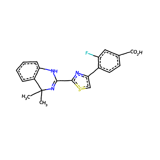 CC1(C)N=C(c2nc(-c3ccc(C(=O)O)cc3F)cs2)Nc2ccccc21